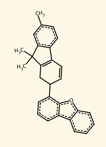 Cc1ccc2c(c1)C(C)(C)C1=C2C=CC(c2cccc3c2oc2ccccc23)C1